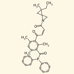 CCC1(C)CC12CN2C(=O)/C=C\C(=O)c1c(C)cc(C)c(C(=O)P(c2ccccc2)c2ccccc2)c1C